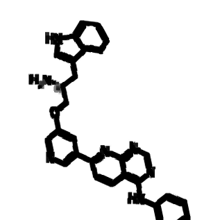 N[C@@H](COc1cncc(-c2ccc3c(Nc4ccccc4)ncnc3n2)c1)Cc1c[nH]c2ccccc12